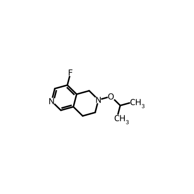 CC(C)ON1CCc2cncc(F)c2C1